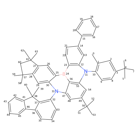 Cc1cc(C(C)(C)C)ccc1N1c2cc(-c3ccccc3)ccc2B2c3cc4c(cc3N(c3cccc5c3C(C)(C)c3ccccc3-5)c3cc(C(C)(C)C)cc1c32)C(C)(C)CC4(C)C